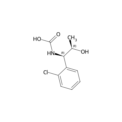 C[C@@H](O)[C@H](NC(=O)O)c1ccccc1Cl